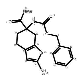 CNC(=O)C1(NC(=O)OCc2ccccc2)CCc2cc(N)sc2C1